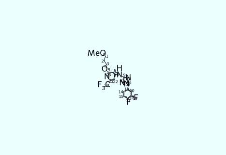 COCCCOc1cc(Nc2ncn(-c3ccc(F)c(F)c3)n2)cc(C(F)(F)F)n1